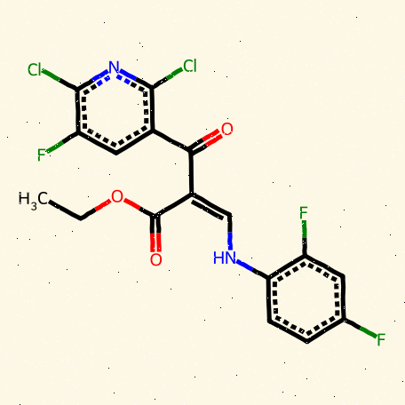 CCOC(=O)C(=CNc1ccc(F)cc1F)C(=O)c1cc(F)c(Cl)nc1Cl